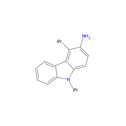 CC(C)c1c(N)ccc2c1c1ccccc1n2C(C)C